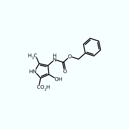 Cc1[nH]c(C(=O)O)c(O)c1NC(=O)OCc1ccccc1